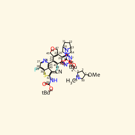 CO[C@@H]1C[C@@H](COc2nc(N3C4CCC3CN(C(=O)OC(C)(C)C)C4)c3c4c(c(-c5ncc(F)c6sc(NC(=O)OC(C)(C)C)c(C#N)c56)c(F)c3n2)COC4)N(C)C1